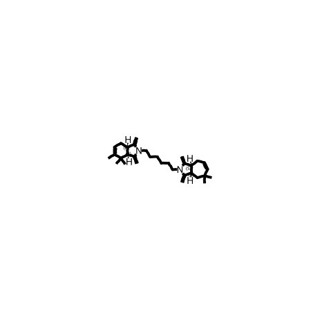 C=C1[C@H]2CC=CC(C)(C)C[C@H]2C(=C)N1CCCCCCN1C(=C)[C@@H]2[C@@H](CC=C(C)C2(C)C)C1=C